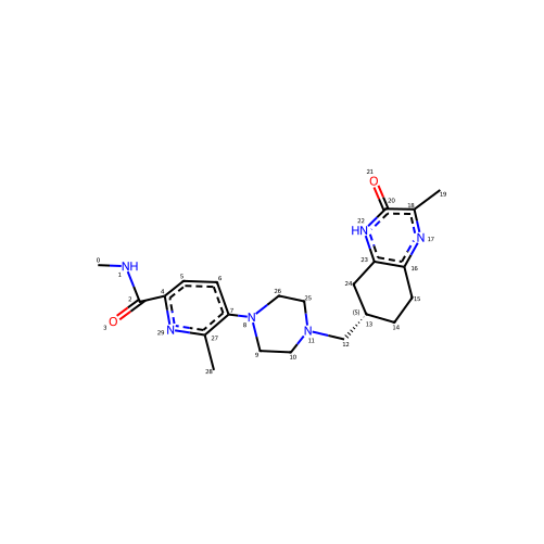 CNC(=O)c1ccc(N2CCN(C[C@H]3CCc4nc(C)c(=O)[nH]c4C3)CC2)c(C)n1